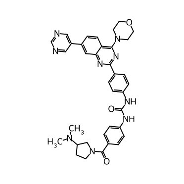 CN(C)C1CCN(C(=O)c2ccc(NC(=O)Nc3ccc(-c4nc(N5CCOCC5)c5ccc(-c6cncnc6)cc5n4)cc3)cc2)C1